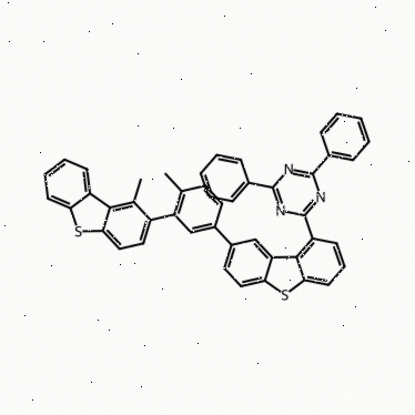 Cc1ccc(-c2ccc3sc4cccc(-c5nc(-c6ccccc6)nc(-c6ccccc6)n5)c4c3c2)cc1-c1ccc2sc3ccccc3c2c1C